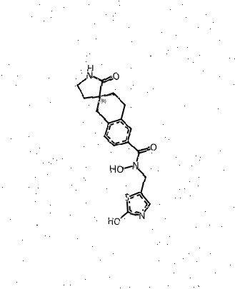 O=C(c1ccc2c(c1)CC[C@]1(CCNC1=O)C2)N(O)Cc1cnc(O)s1